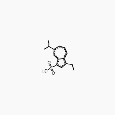 CCc1cc(S(=O)(=O)O)c2cc(C(C)C)cccc1-2